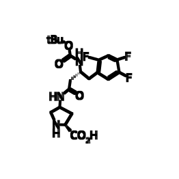 CC(C)(C)OC(=O)N[C@@H](CC(=O)NC1CN[C@H](C(=O)O)C1)Cc1cc(F)c(F)cc1F